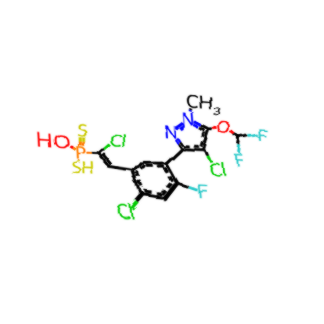 Cn1nc(-c2cc(C=C(Cl)P(O)(=S)S)c(Cl)cc2F)c(Cl)c1OC(F)F